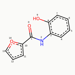 O=C(Nc1ccccc1O)c1ccco1